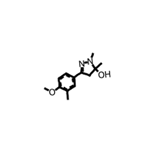 COc1ccc(C2=NN(C)C(C)(O)C2)cc1C